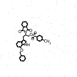 Cc1ccc(S(=O)(=O)OCC(Cc2c[nH]c3c(OCc4ccccc4)cccc23)N2C(=O)c3ccccc3C2=O)cc1